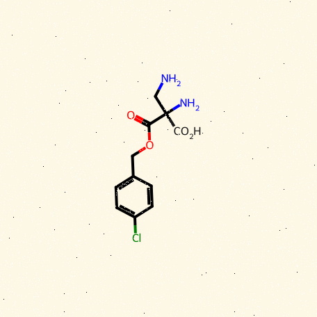 NCC(N)(C(=O)O)C(=O)OCc1ccc(Cl)cc1